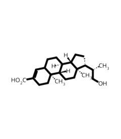 C[C@H](CO)[C@H]1CC[C@H]2[C@@H]3CCC4C=C(C(=O)O)CC[C@]4(C)[C@H]3CC[C@]12C